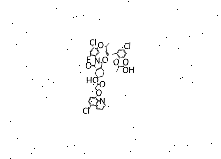 C#CC(C)Oc1cc(N2C(=O)C3=C(CCCC3)C2=O)c(F)cc1Cl.Cc1cc(Cl)ccc1OC(C)C(=O)O.O=C(O)COc1ccc(Cl)c2cccnc12